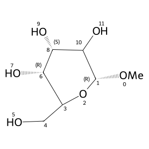 CO[C@@H]1OC(CO)[C@H](O)[C@H](O)C1O